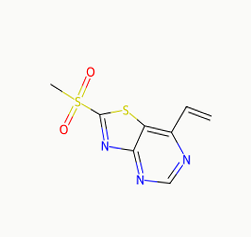 C=Cc1ncnc2nc(S(C)(=O)=O)sc12